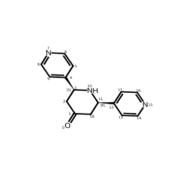 O=C1C[C@@H](c2ccncc2)N[C@@H](c2ccncc2)C1